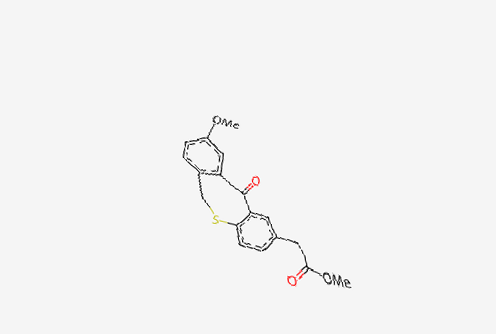 COC(=O)Cc1ccc2c(c1)C(=O)c1cc(OC)ccc1CS2